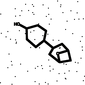 OC1CCC(C2CC3CC(C2)O3)CC1